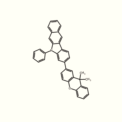 CC1(C)c2ccccc2Oc2ccc(-c3ccc4c5cc6ccccc6cc5n(-c5ccccc5)c4c3)cc21